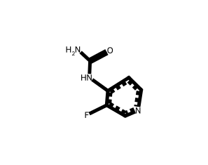 NC(=O)Nc1ccncc1F